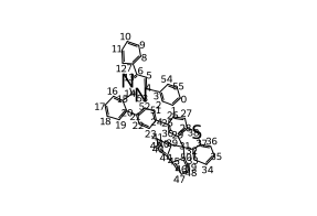 c1ccc(-c2cc(-c3ccccc3)nc(-c3ccccc3-c3ccc(-c4ccc5c(c4)C4(c6ccccc6S5)c5ccccc5-c5ccccc54)cc3)n2)cc1